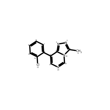 Cc1nnc2c(-c3ccccc3Cl)cncn12